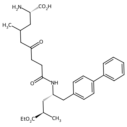 CCOC(=O)[C@H](C)C[C@@H](Cc1ccc(-c2ccccc2)cc1)NC(=O)CCC(=O)CC(C)C[C@H](N)C(=O)O